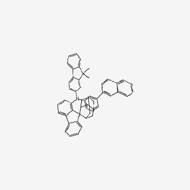 CC1(C)c2ccccc2-c2ccc(N(c3cccc(-c4ccc5ccccc5c4)c3)c3cccc4c3C3(c5ccccc5-4)C4CC5CC(C4)CC3C5)cc21